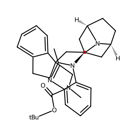 Cc1nc2ccccc2n1[C@H]1C[C@H]2CC[C@@H](C1)N2CCC1(CN(C)C(=O)OC(C)(C)C)CCc2ccccc21